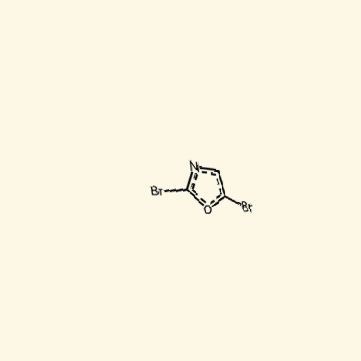 Brc1cnc(Br)o1